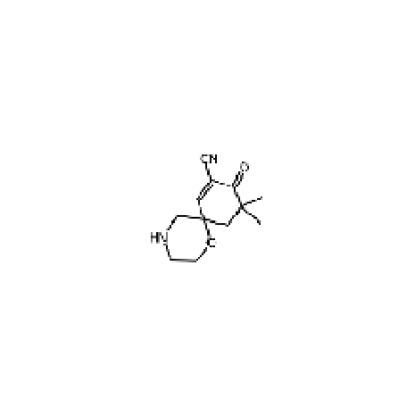 CC1(C)CC2(C=C(C#N)C1=O)CNCCO2